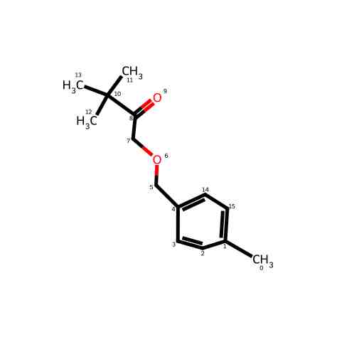 Cc1ccc(COCC(=O)C(C)(C)C)cc1